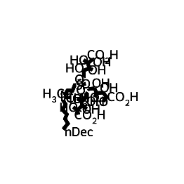 CCCCCCCCCCCCCCCCC[N+](C)(C)CCC[Si](OCC(O)C(O)C(O)C(O)C(=O)O)(OCC(O)C(O)C(O)C(O)C(=O)O)OCC(O)C(O)C(O)C(O)C(=O)O